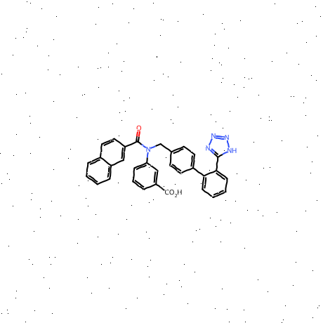 O=C(O)c1cccc(N(Cc2ccc(-c3ccccc3-c3nnn[nH]3)cc2)C(=O)c2ccc3ccccc3c2)c1